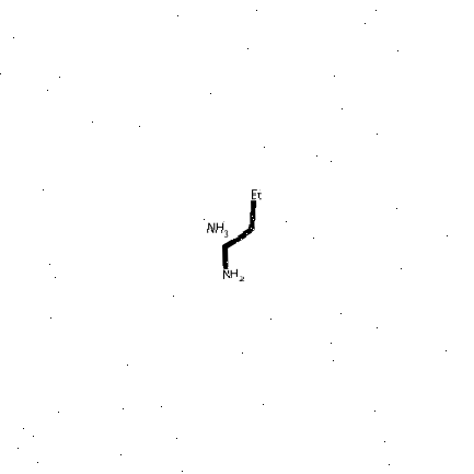 CCCCN.N